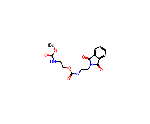 CC(C)(C)OC(=O)NCCOC(=O)NCCN1C(=O)c2ccccc2C1=O